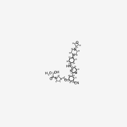 C[C@H](O)C(=O)N1CC[C@H](COc2cc(C#N)cc(-c3nccc(Nc4ccc(N5CCN(C6COC6)CC5)cc4)n3)c2)C1